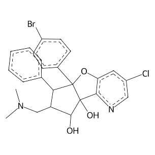 CN(C)CC1C(O)C2(O)c3ncc(Cl)cc3OC2(c2ccc(Br)cc2)C1c1ccccc1